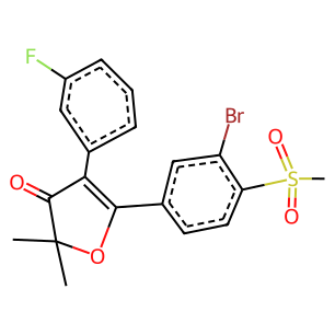 CC1(C)OC(c2ccc(S(C)(=O)=O)c(Br)c2)=C(c2cccc(F)c2)C1=O